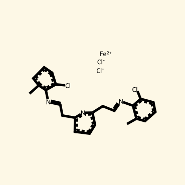 Cc1cccc(Cl)c1N=CCc1cccc(CC=Nc2c(C)cccc2Cl)n1.[Cl-].[Cl-].[Fe+2]